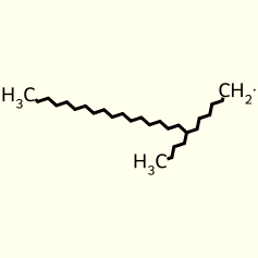 [CH2]CCCCCC(CCCC)CCCCCCCCCCCCCCCCC